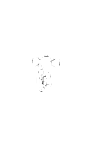 O=C(N[SH](=O)=O)OC1Cc2ccccc2C#Cc2ccccc21